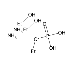 CCO.CCO.CCOP(=O)(O)O.N.N